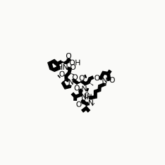 CC[C@H](C)[C@@H]([C@@H](CC(=O)N1CCC[C@H]1[C@H](OC)[C@@H](C)C(=O)N[C@@H](Cc1ccccc1)C(=O)O)OC)N(C)C(=O)[C@@H](NC(=O)[C@H](C(C)C)N(C)C(=O)CCCCCN1C(=O)CC(C)C1=O)C(C)C